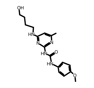 COc1ccc(NC(=O)Nc2nc(C)cc(NCCCCO)n2)cc1